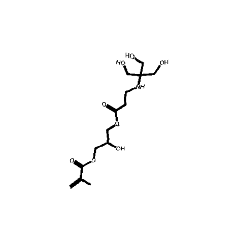 C=C(C)C(=O)OCC(O)COC(=O)CCNC(CO)(CO)CO